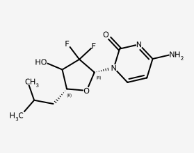 CC(C)C[C@H]1O[C@@H](n2ccc(N)nc2=O)C(F)(F)C1O